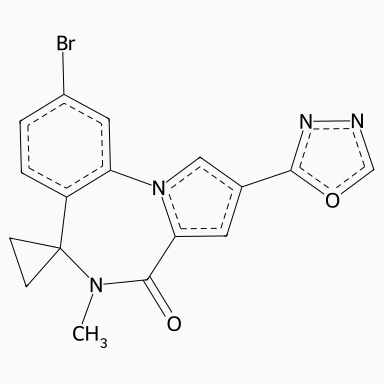 CN1C(=O)c2cc(-c3nnco3)cn2-c2cc(Br)ccc2C12CC2